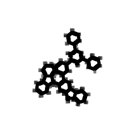 c1ccc(-c2cc(-c3ccccc3)nc(-c3cccc(-c4cc5c(cc4-n4c6ccccc6c6ccccc64)oc4ccccc45)c3)n2)cc1